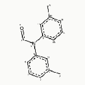 Cc1cccc(N([C]=O)c2cccc(C)c2)c1